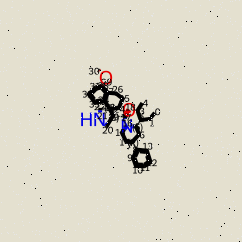 CCC(CC)[C@@H]1C[C@H](c2ccccc2)CCN1C(=O)[C@@H]1CNC[C@]12CCCc1c(OC)cccc12